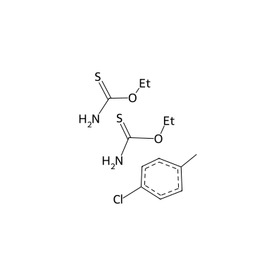 CCOC(N)=S.CCOC(N)=S.Cc1ccc(Cl)cc1